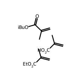 C=C(C)C(=O)O.C=C(C)C(=O)OCC.C=C(C)C(=O)OCC(C)C